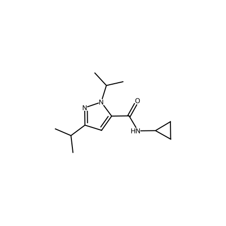 CC(C)c1cc(C(=O)NC2CC2)n(C(C)C)n1